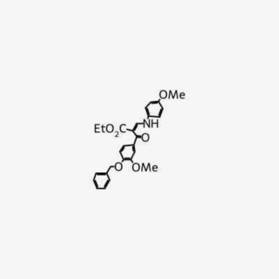 CCOC(=O)C(=CNc1ccc(OC)cc1)C(=O)c1ccc(OCc2ccccc2)c(OC)c1